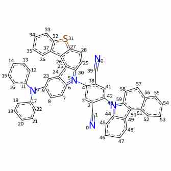 N#Cc1cc(-n2c3ccc(N(c4ccccc4)c4ccccc4)cc3c3c4c(ccc32)sc2ccccc24)c(C#N)cc1-n1c2ccccc2c2c3ccccc3ccc21